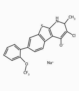 CC1Nc2sc3cc(-c4ccccc4OC(F)(F)F)ccc3c2C([O-])=C1Cl.[Na+]